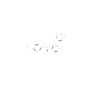 O=C(Nc1ccc(OC(F)(F)F)cc1)c1ccnc(-c2cncnc2)c1